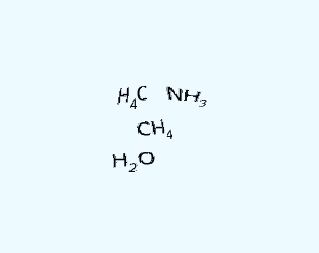 C.C.N.O